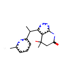 COc1cccc(C(C)c2n[nH]c3c2C(O)(C(F)(F)F)CC(=O)N3)n1